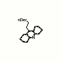 CCCCCCCCCCCCc1c2ccccc2nc2ccccc12